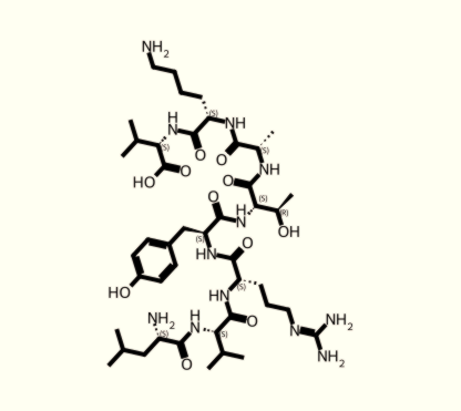 CC(C)C[C@H](N)C(=O)N[C@H](C(=O)N[C@@H](CCCN=C(N)N)C(=O)N[C@@H](Cc1ccc(O)cc1)C(=O)N[C@H](C(=O)N[C@@H](C)C(=O)N[C@@H](CCCCN)C(=O)N[C@H](C(=O)O)C(C)C)[C@@H](C)O)C(C)C